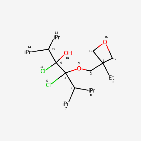 CCC1(COC(Cl)(C(C(C)C)C(C)C)C(O)(Cl)C(C(C)C)C(C)C)COC1